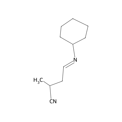 CC(C#N)CC=NC1CCCCC1